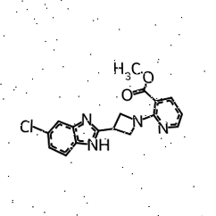 COC(=O)c1cccnc1N1CC(c2nc3cc(Cl)ccc3[nH]2)C1